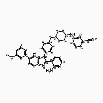 COc1cncc(-c2ccc3nc(-c4cccnc4N)n(-c4ccc(CN5CCC(Nc6ccnc(C#N)n6)CC5)cc4)c3n2)c1